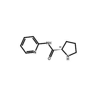 O=C(Nc1ccccn1)[C@@H]1CCCN1